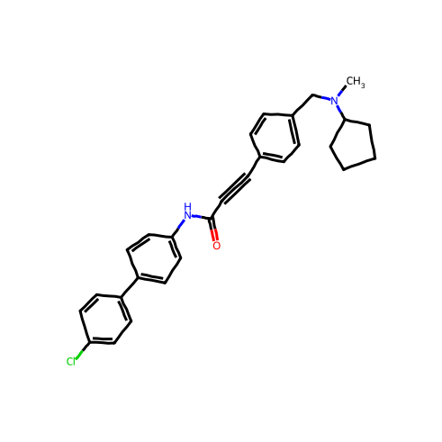 CN(Cc1ccc(C#CC(=O)Nc2ccc(-c3ccc(Cl)cc3)cc2)cc1)C1CCCC1